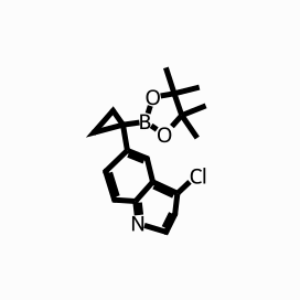 CC1(C)OB(C2(c3ccc4nccc(Cl)c4c3)CC2)OC1(C)C